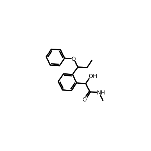 CCC(Oc1ccccc1)c1ccccc1C(O)C(=O)NC